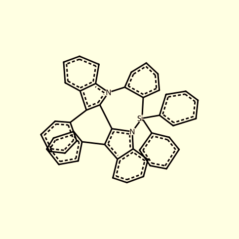 c1ccc(-c2c3n(c4ccccc24)-c2ccccc2[Si](c2ccccc2)(c2ccccc2)n2c-3c(-c3ccccc3)c3ccccc32)cc1